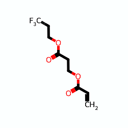 C=CC(=O)OCCC(=O)OCCC(F)(F)F